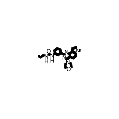 CCCNC(=O)Nc1cccc(-c2nc(N3CCOCC3)c3ccc4c(ccn4C)c3n2)c1